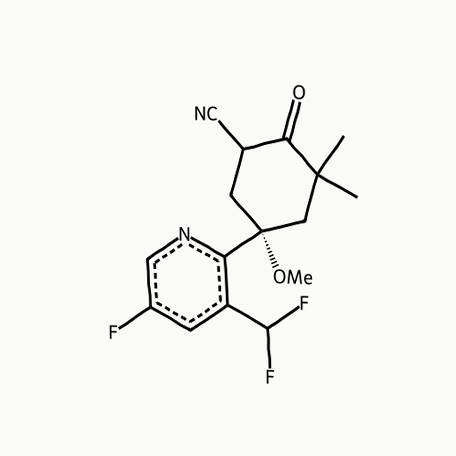 CO[C@]1(c2ncc(F)cc2C(F)F)CC(C#N)C(=O)C(C)(C)C1